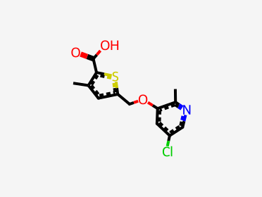 Cc1cc(COc2cc(Cl)cnc2C)sc1C(=O)O